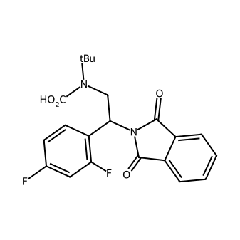 CC(C)(C)N(CC(c1ccc(F)cc1F)N1C(=O)c2ccccc2C1=O)C(=O)O